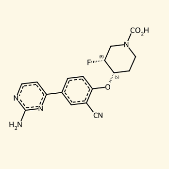 N#Cc1cc(-c2ccnc(N)n2)ccc1O[C@H]1CCN(C(=O)O)C[C@H]1F